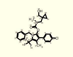 Cc1c(-c2ccc(Cl)cc2)c(OC(=O)N(C)CC2(CO)CC2)n(Cc2ccccc2)c1C(F)(F)F